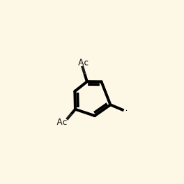 [CH2]c1cc(C(C)=O)cc(C(C)=O)c1